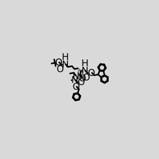 CCN(C(=O)[C@H](CCCCNC(=O)OC(C)(C)C)NC(=O)OCC1c2ccccc2-c2ccccc21)N(C)C(=O)OCc1ccccc1